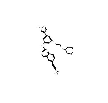 Cn1cc(-c2cc(Nc3ncc4cc(C#C[Si](C)(C)C)ccc4n3)cc(OCCNC3CCOCC3)c2)cn1